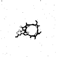 C=Cc1c(C)c2[nH]c1cc1nc(cc3[nH]c4c(c3C)C(=O)[C@H](C(=O)OC)c4c3nc(c2C)C=C3CCC(=O)CC)C(CC)=C1C